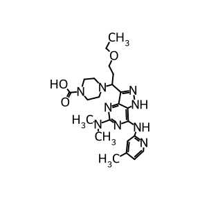 CCOCCC(c1n[nH]c2c(Nc3cc(C)ccn3)nc(N(C)C)nc12)N1CCN(C(=O)O)CC1